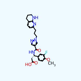 COc1ccc([C@H](CC(=O)O)NC(=O)c2cnn(CCCc3ccc4c(n3)NCCC4)c2)cc1F